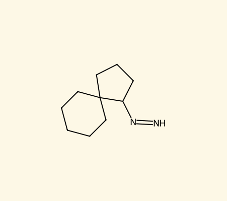 N=NC1CCCC12CCCCC2